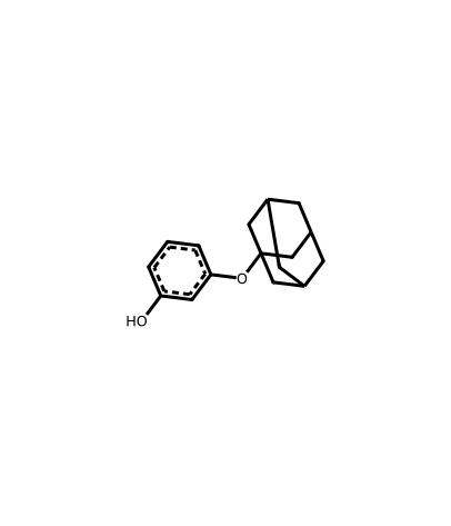 Oc1cccc(OC23CC4CC(CC(C4)C2)C3)c1